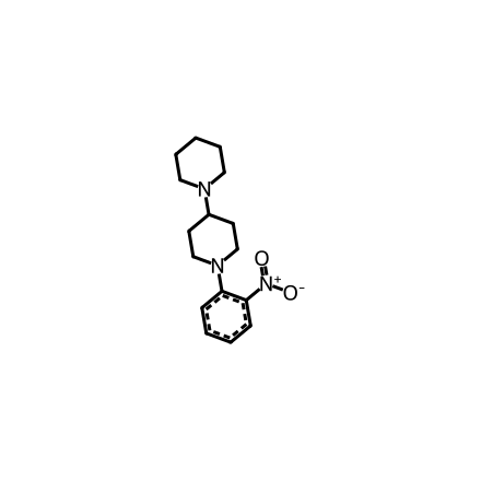 O=[N+]([O-])c1ccccc1N1CCC(N2CCCCC2)CC1